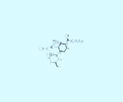 C=C1CCNC(c2ccc(C(=O)OC)cc2)C1.CC(C)(C)OC=O